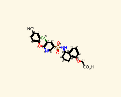 N#Cc1ccc(Oc2ncc(S(=O)(=O)NC3CCCc4c(OCC(=O)O)cccc43)cc2Br)cc1